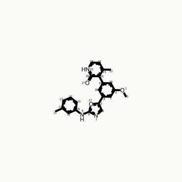 COc1cc(-c2cnc(Nc3cccc(C)c3)o2)cc(-c2c(C)cc[nH]c2=O)c1